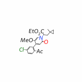 CCOC(=O)C(CC1(C)CC1)n1cc(OC)c(-c2cc(Cl)ccc2C(C)=O)cc1=O